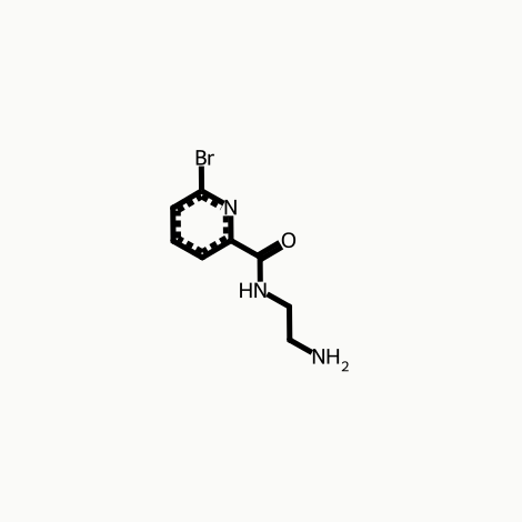 NCCNC(=O)c1cccc(Br)n1